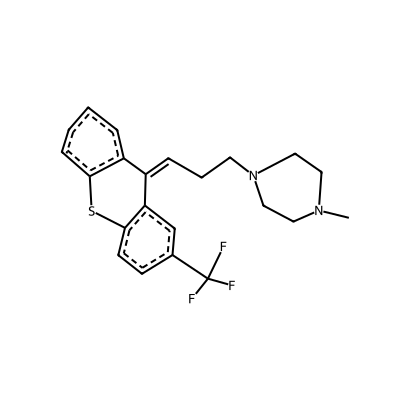 CN1CCN(CCC=C2c3ccccc3Sc3ccc(C(F)(F)F)cc32)CC1